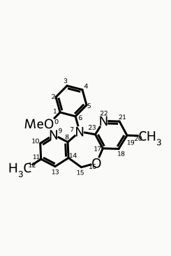 COc1ccccc1N1c2ncc(C)cc2COc2cc(C)cnc21